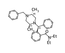 CCN(CC)C(=O)c1ccccc1[C@H](c1ccccc1)N1C[C@@H](C)N(Cc2ccccc2)C[C@@H]1C